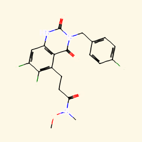 CON(C)C(=O)CCc1c(F)c(F)cc2[nH]c(=O)n(Cc3ccc(Br)cc3)c(=O)c12